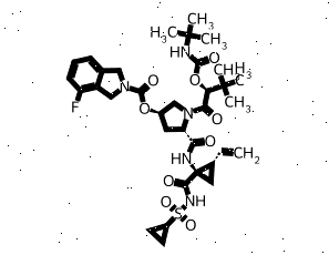 C=C[C@@H]1C[C@]1(NC(=O)[C@@H]1C[C@@H](OC(=O)N2Cc3cccc(F)c3C2)CN1C(=O)[C@@H](OC(=O)NC(C)(C)C)C(C)(C)C)C(=O)NS(=O)(=O)C1CC1